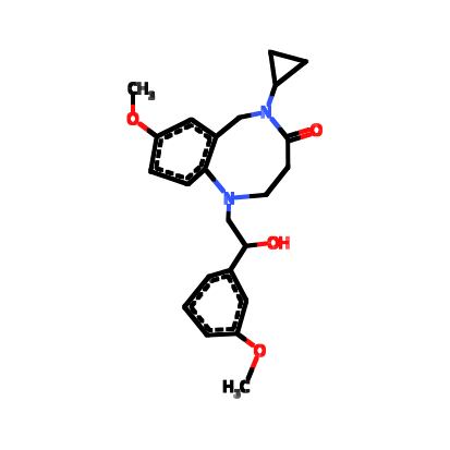 COc1cccc(C(O)CN2CCC(=O)N(C3CC3)Cc3cc(OC)ccc32)c1